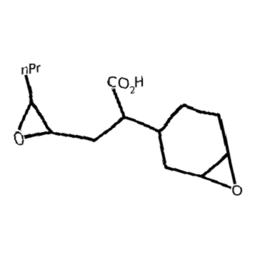 CCCC1OC1CC(C(=O)O)C1CCC2OC2C1